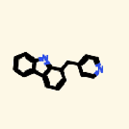 C1=CC(Cc2ccncc2)C2=Nc3ccccc3C2=C1